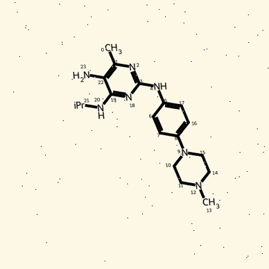 Cc1nc(Nc2ccc(N3CCN(C)CC3)cc2)nc(NC(C)C)c1N